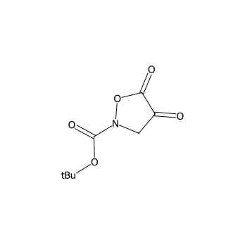 CC(C)(C)OC(=O)N1CC(=O)C(=O)O1